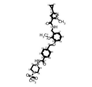 COc1c(CNC(=O)c2cc(C3CC3)nn2C)cccc1OCc1ccc(C(=O)NN2CCN(S(C)(=O)=O)CC2)cc1